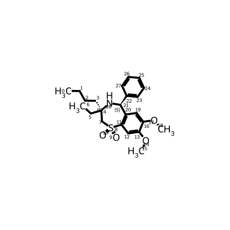 CCCC[C@@]1(CC)CS(=O)(=O)c2cc(OC)c(OC)cc2[C@H](c2ccccc2)N1